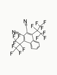 N#Cc1c(C#N)c(C(F)(C(F)(F)F)C(F)(F)F)c2ccccc2c1C(F)(C(F)(F)F)C(F)(F)F